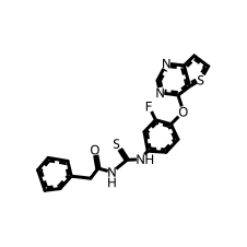 O=C(Cc1ccccc1)NC(=S)Nc1ccc(Oc2ncnc3ccsc23)c(F)c1